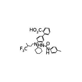 Cc1ccc(NC(=O)Nc2cc(-c3ccccc3C(=O)O)ccc2N(CCC(C)C(F)(F)F)C2CCCCC2)cc1